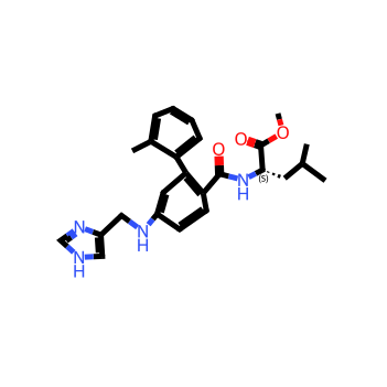 COC(=O)[C@H](CC(C)C)NC(=O)c1ccc(NCc2c[nH]cn2)cc1-c1ccccc1C